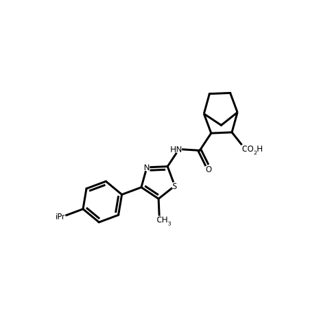 Cc1sc(NC(=O)C2C3CCC(C3)C2C(=O)O)nc1-c1ccc(C(C)C)cc1